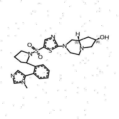 Cn1cncc1-c1ccccc1C1CCCN1S(=O)(=O)c1cnc(N2CCN3C[C@H](O)C[C@H]3C2)s1